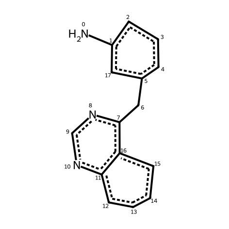 Nc1cccc(Cc2ncnc3ccccc23)c1